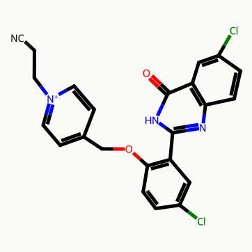 N#CCC[n+]1ccc(COc2ccc(Cl)cc2-c2nc3ccc(Cl)cc3c(=O)[nH]2)cc1